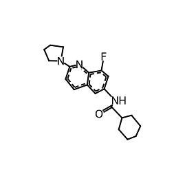 O=C(Nc1cc(F)c2nc(N3CCCC3)ccc2c1)C1CCCCC1